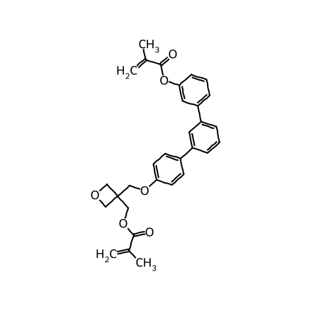 C=C(C)C(=O)OCC1(COc2ccc(-c3cccc(-c4cccc(OC(=O)C(=C)C)c4)c3)cc2)COC1